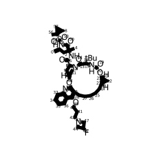 C=CCC(C)(NC(=O)[C@@H]1C[C@@H]2CN1C(=O)[C@H](C(C)(C)C)NC(=O)O[C@@H]1C[C@H]1CCCCCc1c(nc3ccccc3c1OCCCN1CC(F)C1)O2)C(=O)NS(=O)(=O)C1(C)CC1